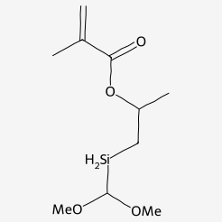 C=C(C)C(=O)OC(C)C[SiH2]C(OC)OC